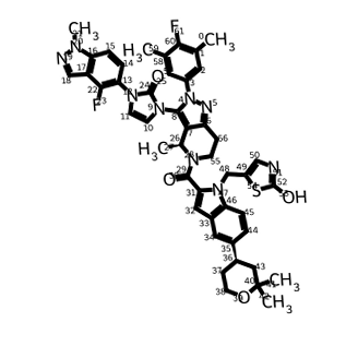 Cc1cc(-n2nc3c(c2-n2ccn(-c4ccc5c(cnn5C)c4F)c2=O)[C@H](C)N(C(=O)c2cc4cc([C@@H]5CCOC(C)(C)C5)ccc4n2Cc2cnc(O)s2)CC3)cc(C)c1F